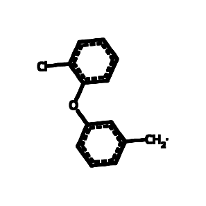 [CH2]c1cccc(Oc2ccccc2Cl)c1